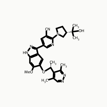 COc1cc2[nH]nc(-c3cnc(N4CC[C@H](C(C)(C)O)C4)c(C#N)c3)c2cc1O[C@H](C)c1c(C)cnnc1C